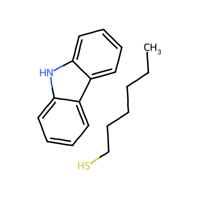 CCCCCCS.c1ccc2c(c1)[nH]c1ccccc12